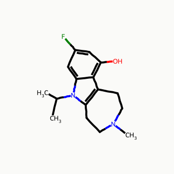 CC(C)n1c2c(c3c(O)cc(F)cc31)CCN(C)CC2